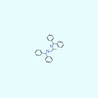 CC(CN=C(c1ccccc1)c1ccccc1)N=C(c1ccccc1)c1ccccc1